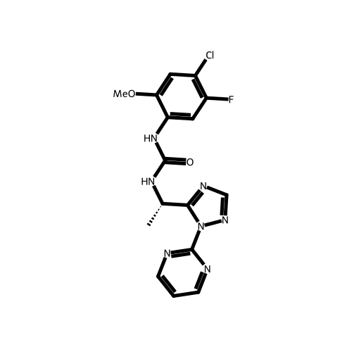 COc1cc(Cl)c(F)cc1NC(=O)N[C@@H](C)c1ncnn1-c1ncccn1